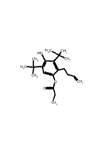 C=CCCc1c(OC(=O)CC)cc(C(C)(C)C)c(O)c1C(C)(C)C